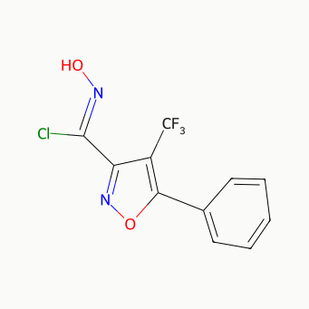 ON=C(Cl)c1noc(-c2ccccc2)c1C(F)(F)F